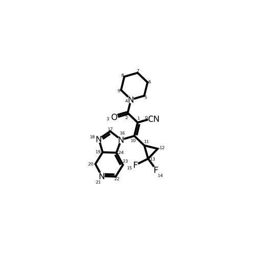 N#CC(C(=O)N1CCCCC1)=C(C1CC1(F)F)N1C=NC2CN=CC=C21